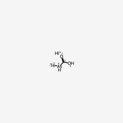 I.O=C(O)[AsH][Te]